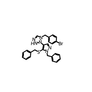 Brc1ccc(CN2C=NNN2c2cnn(Cc3ccccc3)c2SCc2ccccc2)cc1